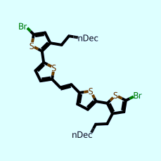 CCCCCCCCCCCCc1cc(Br)sc1-c1ccc(/C=C/c2ccc(-c3sc(Br)cc3CCCCCCCCCCCC)s2)s1